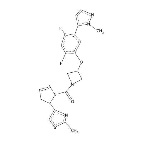 Cc1nc(C2CC=NN2C(=O)N2CC(Oc3cc(-c4ccnn4C)c(F)cc3F)C2)cs1